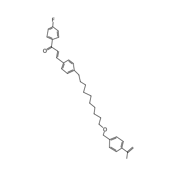 C=C(C)c1ccc(COCCCCCCCCCCc2ccc(C=CC(=O)c3ccc(F)cc3)cc2)cc1